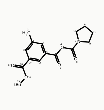 Cc1cc(C(=O)OC(=O)N2CCCC2)cc(C(=O)OC(C)(C)C)c1